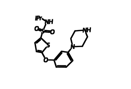 CC(C)NS(=O)(=O)c1ccc(Oc2cccc(N3CCNCC3)c2)s1